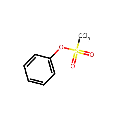 O=S(=O)(Oc1ccccc1)C(Cl)(Cl)Cl